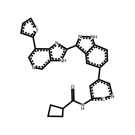 O=C(Nc1cncc(-c2ccc3[nH]nc(-c4nc5c(-c6cccs6)cncc5[nH]4)c3c2)c1)C1CCC1